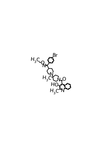 CCON=C(c1ccc(Br)cc1)C1CCN(C2(C)CCN(C(=O)c3c(O)c(C)nc4ccccc34)CC2)CC1